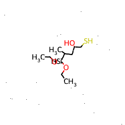 CCO[SiH](OCC)C(C)CC(O)CS